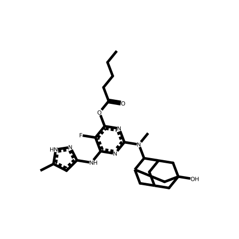 CCCCC(=O)Oc1nc(N(C)C2C3CC4CC2CC(O)(C4)C3)nc(Nc2cc(C)[nH]n2)c1F